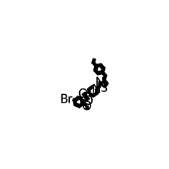 CCc1ccc(Cc2csc(N3CCC(S(=O)(=O)c4cc(Br)ccc4OC)CC3)n2)cc1